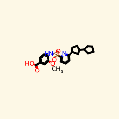 COc1cc(C(=O)O)ccc1NS(=O)(=O)c1cccc(C2CCC(C3CCCC3)C2)n1